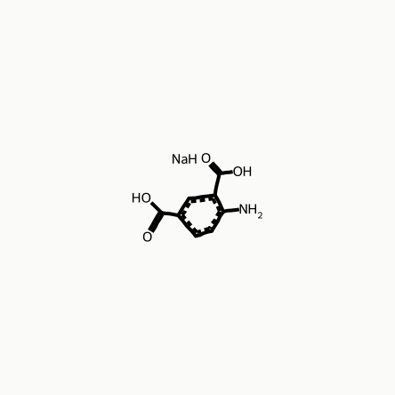 Nc1ccc(C(=O)O)cc1C(=O)O.[NaH]